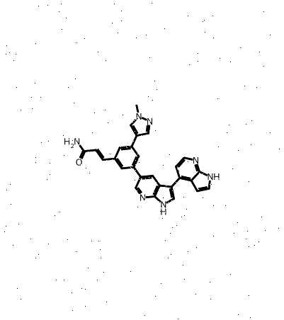 Cn1cc(-c2cc(C=CC(N)=O)cc(-c3cnc4[nH]cc(-c5ccnc6[nH]ccc56)c4c3)c2)cn1